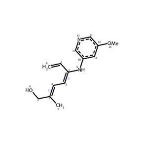 C=C/C(=C\C=C(/C)CO)Nc1cncc(OC)c1